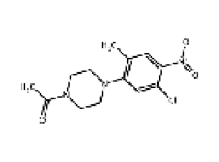 CC(=O)N1CCN(c2cc(Cl)c([N+](=O)[O-])cc2C)CC1